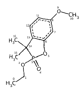 CCOP1(=O)Oc2cc(OC)ccc2C1(C)C